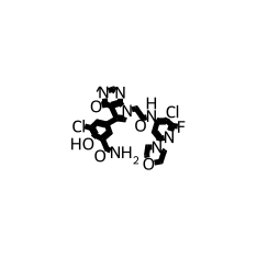 Cn1cnc2c(c(-c3cc(Cl)c(O)c(C(N)=O)c3)cn2CC(=O)Nc2cc(N3CCOCC3)nc(F)c2Cl)c1=O